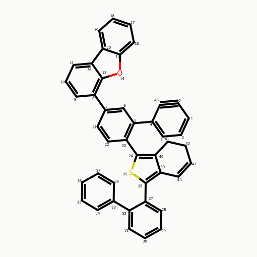 c1cccc(-c2cc(-c3cccc4c3oc3ccccc34)ccc2-c2sc(-c3ccccc3-c3ccccc3)c3c2CCC=C3)c#1